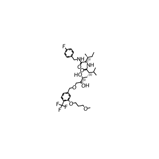 CC[C@H](C)[C@H](NC(=O)[C@@H](C[C@H](O)[C@@H](O)COCc1ccc(C(F)(F)F)c(OCCCOC)c1)C(C)C)C(=O)NCc1ccc(F)cc1